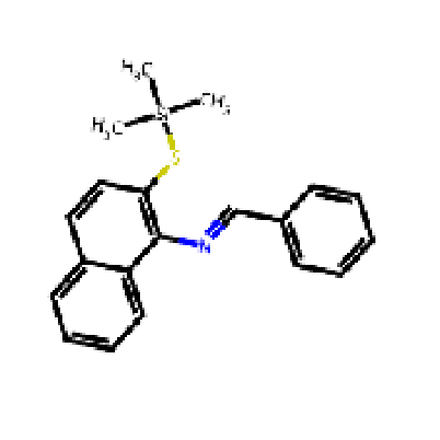 C[Si](C)(C)Sc1ccc2ccccc2c1N=Cc1ccccc1